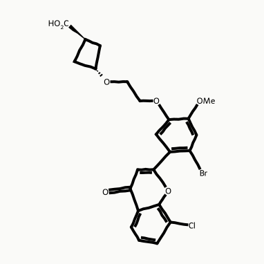 COc1cc(Br)c(-c2cc(=O)c3cccc(Cl)c3o2)cc1OCCO[C@H]1C[C@H](C(=O)O)C1